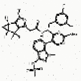 CSc1ncc(-c2cccc3c(NS(C)(=O)=O)nn(C)c23)c([C@H](Cc2cc(F)cc(F)c2)NC(=O)Cn2nc(C(F)(F)F)c3c2C(F)(F)[C@@H]2C[C@H]32)n1